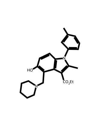 CCOC(=O)c1c(C)n(-c2cccc(C)c2)c2ccc(O)c(CN3CCCCC3)c12